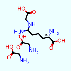 NC(CCC[C@H](N)C(=O)O)NCC(=O)O.NCC(=O)O.NCC(=O)O